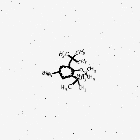 CC(C)(C)c1c[c]([Mg][Br])cc(C(C)(C)C)c1O[Si](C)(C)C